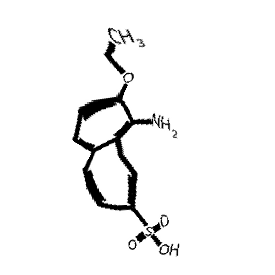 CCOc1ccc2ccc(S(=O)(=O)O)cc2c1N